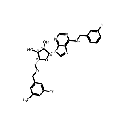 O[C@@H]1[C@H](O)[C@@H](COCc2cc(C(F)(F)F)cc(C(F)(F)F)c2)O[C@H]1n1cnc2c(NCc3cccc(F)c3)ncnc21